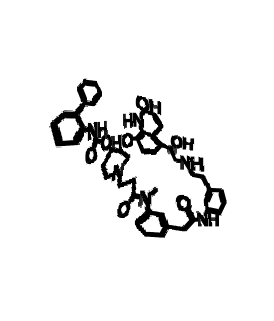 CN(C(=O)CCN1CCC(OC(=O)Nc2ccccc2-c2ccccc2)CC1)c1cccc(CC(=O)Nc2cccc(CCNC[C@H](O)c3ccc(O)c4c3C=CC(O)N4)c2)c1